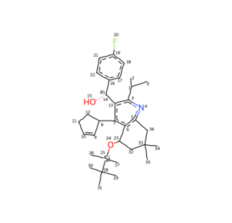 CC(C)c1nc2c(c(C3C=CCC3)c1[C@H](O)c1ccc(F)cc1)C(O[Si](C)(C)C(C)(C)C)CC(C)(C)C2